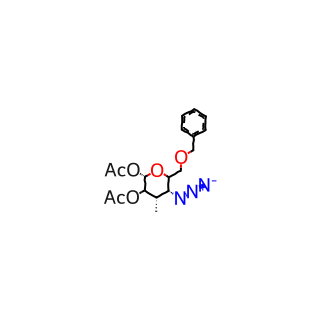 CC(=O)OC1[C@H](OC(C)=O)OC(COCc2ccccc2)[C@H](N=[N+]=[N-])[C@@H]1C